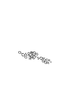 C=C(C[n+]1ccc(SCC2=C(C(=O)O)N3C(=O)[C@H](NC(=O)CSc4cc(Cl)ccc4Cl)[C@H]3SC2)cc1)C(=O)O